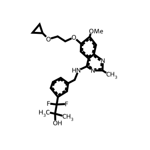 COc1cc2nc(C)nc(NCc3cccc(C(F)(F)C(C)(C)O)c3)c2cc1OCCOC1CC1